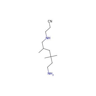 CC(CNCCC#N)CC(C)(C)CCN